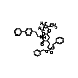 CC(C)(C)OC(=O)CC(CCP(=O)(OCc1ccccc1)OCc1ccccc1)C(=O)NCCc1ccc(-c2ccccc2)cc1